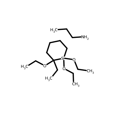 CCCN.CCOC1(CC)CCCC[Si]1(OCC)OCC